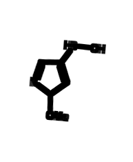 COC1C=C(BO)C=N1